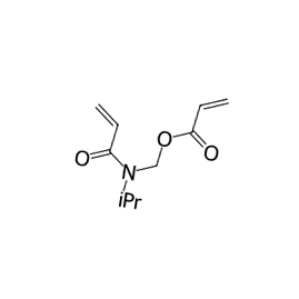 C=CC(=O)OCN(C(=O)C=C)C(C)C